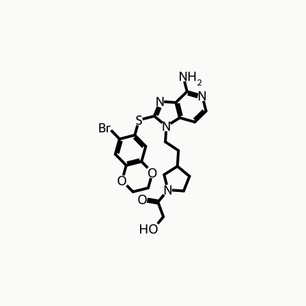 Nc1nccc2c1nc(Sc1cc3c(cc1Br)OCCO3)n2CCC1CCN(C(=O)CO)C1